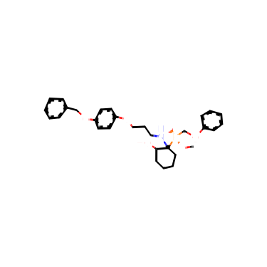 CCOP(=O)(COc1ccccc1)C1(NCCCOc2ccc(OCc3ccccc3)cc2)CCCCC1O